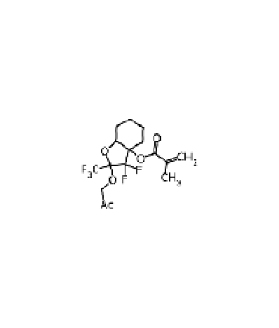 C=C(C)C(=O)OC12CCCCC1OC(OCC(C)=O)(C(F)(F)F)C2(F)F